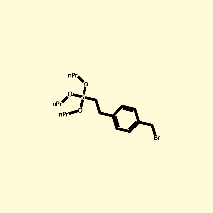 CCCO[Si](CCc1ccc(CBr)cc1)(OCCC)OCCC